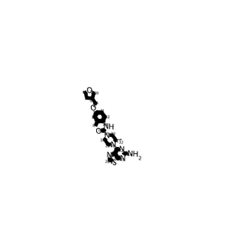 Cc1cc(OCC2CCOC2)ccc1NC(=O)N1CCN(c2nc(N)nc3scnc23)[C@@H](C)C1